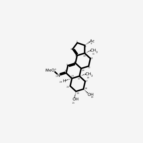 CON=C1C=C2C3=CC[C@H](C(C)=O)[C@@]3(C)CCC2[C@@]2(C)C[C@H](O)[C@H](O)C[C@@H]12